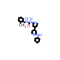 Cc1ccccc1CNC(=O)Nc1cc(-c2ccnc(Nc3ccccc3)c2)ccn1